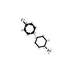 CC(=O)[C@H]1CC[C@H](c2ccc(F)cc2)CC1